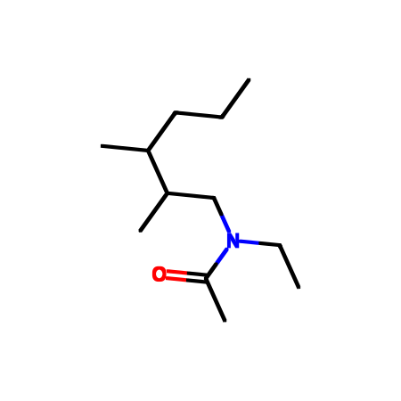 CCCC(C)C(C)CN(CC)C(C)=O